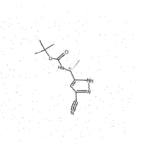 C[C@@H](NC(=O)OC(C)(C)C)c1cc(C#N)n[nH]1